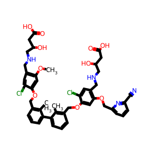 COc1cc(OCc2cccc(-c3cccc(COc4cc(OCc5cccc(C#N)n5)c(CNCC(O)CC(=O)O)cc4Cl)c3C)c2C)c(Cl)cc1CNCC(O)CC(=O)O